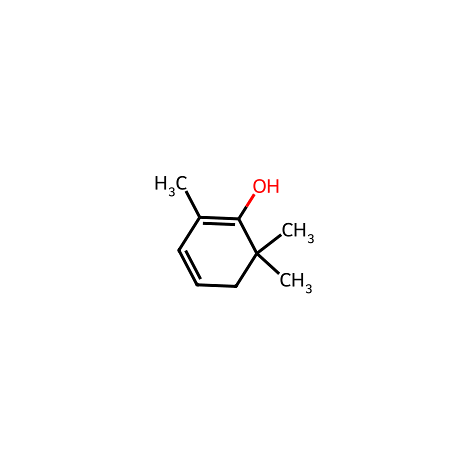 CC1=C(O)C(C)(C)CC=C1